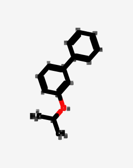 CC(C)Oc1cccc(-c2ccccc2)c1